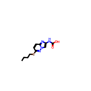 CCCCSc1ccc2nc(NC(=O)O)cn2n1